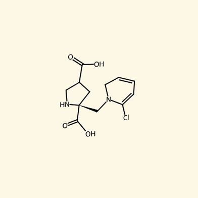 O=C(O)C1CN[C@@](CN2CC=CC=C2Cl)(C(=O)O)C1